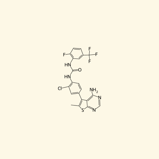 Cc1sc2ncnc(N)c2c1-c1ccc(NC(=O)Nc2cc(C(F)(F)F)ccc2F)c(Cl)c1